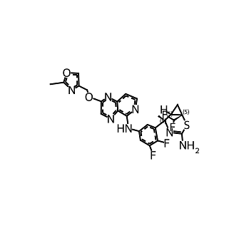 Cc1nc(COc2cnc3c(Nc4cc(F)c(F)c([C@@]5(C)N=C(N)S[C@@]6(C(F)F)C[C@@H]56)c4)nccc3n2)co1